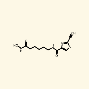 C#Cc1nc(C(=O)NCCCCCC(=O)NO)cs1